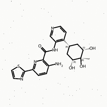 C[C@]1(O)[C@H](O)C[C@H](c2ccncc2NC(=O)c2nc(-c3nccs3)ccc2N)C[C@@H]1O